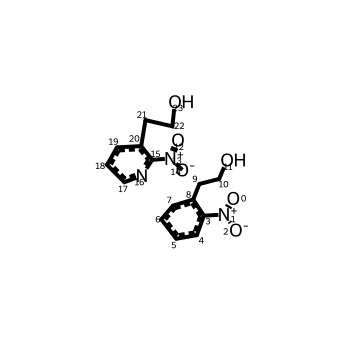 O=[N+]([O-])c1ccccc1CCO.O=[N+]([O-])c1ncccc1CCO